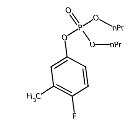 CCCOP(=O)(OCCC)Oc1ccc(F)c(C)c1